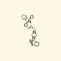 C=C1C(CN2CCN(c3nsc4ccccc34)CC2)[C@H]1CN1C(=O)C2C3CCC(C3)C2C1=O